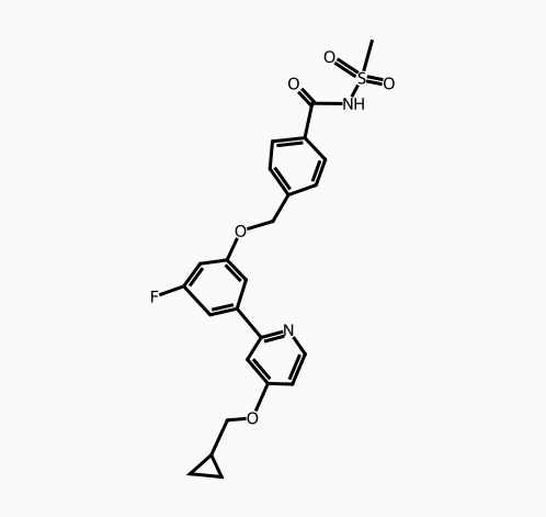 CS(=O)(=O)NC(=O)c1ccc(COc2cc(F)cc(-c3cc(OCC4CC4)ccn3)c2)cc1